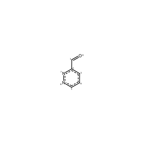 O=Cc1cccnn1